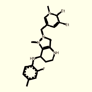 CCC1=CC(CN2CC3=C(C(Nc4ccc(C)cc4F)CCN3)N2C)=CN(C)C1CC